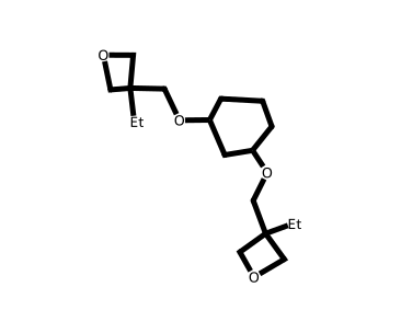 CCC1(COC2CCCC(OCC3(CC)COC3)C2)COC1